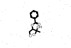 CC(O)(Cl)C(CCl)OC(=O)c1ccccc1